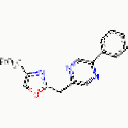 CCOC(=O)c1coc(Cc2cnc(-c3ccccc3)cn2)n1